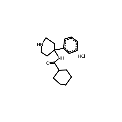 Cl.O=C(NC1(c2ccccc2)CCNCC1)C1CCCCC1